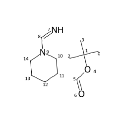 CC(C)(C)OC=O.N=CN1CCCCC1